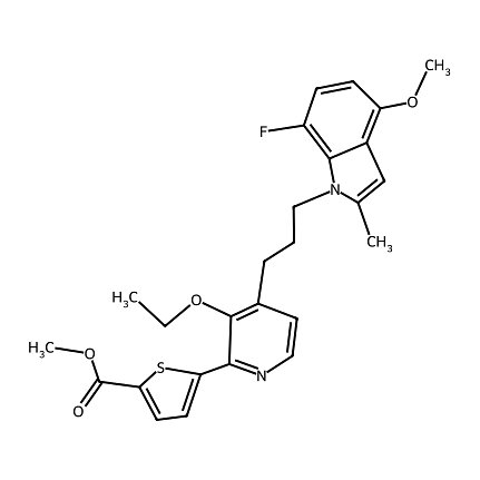 CCOc1c(CCCn2c(C)cc3c(OC)ccc(F)c32)ccnc1-c1ccc(C(=O)OC)s1